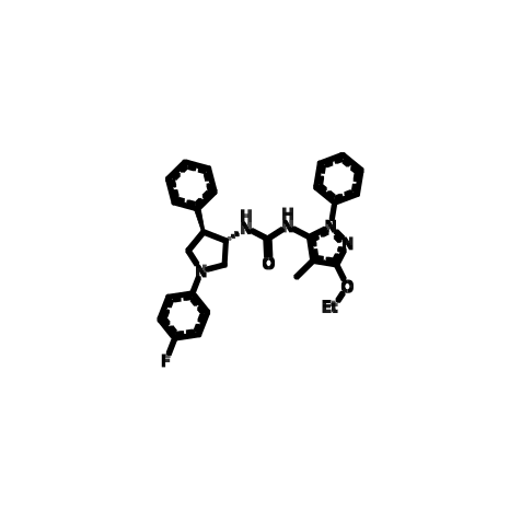 CCOc1nn(-c2ccccc2)c(NC(=O)N[C@@H]2CN(c3ccc(F)cc3)C[C@H]2c2ccccc2)c1C